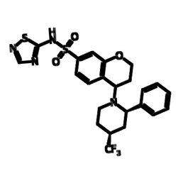 O=S(=O)(Nc1ncns1)c1ccc2c(c1)OCCC2N1CC[C@H](C(F)(F)F)C[C@@H]1c1ccccc1